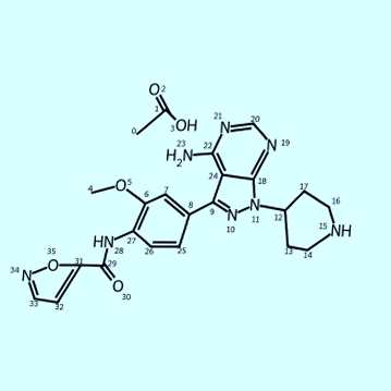 CC(=O)O.COc1cc(-c2nn(C3CCNCC3)c3ncnc(N)c23)ccc1NC(=O)c1ccno1